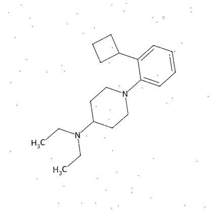 CCN(CC)C1CCN(c2cc[c]cc2C2CCC2)CC1